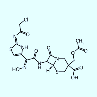 CC(=O)OCC1(C(=O)O)CS[C@@H]2C(NC(=O)C(=NO)c3csc(=NC(=O)CCl)[nH]3)C(=O)N2C1